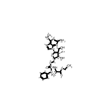 CCOC(=O)[C@@H](C)N[P@](=O)(OC[C@H]1O[C@@H](n2cnc3c(NC)nc(N)nc32)[C@@](F)(CO)[C@@H]1O)Oc1ccccc1